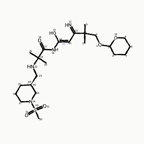 CC(C)(COC1CCCCO1)C(=N)/C=C(\O)NC(=O)C(C)(C)NC[C@@H]1CCCN(S(C)(=O)=O)C1